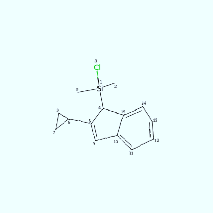 C[Si](C)(Cl)C1C(C2CC2)=Cc2ccccc21